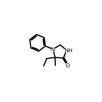 CCC1(C)C(=O)NCN1c1ccccc1